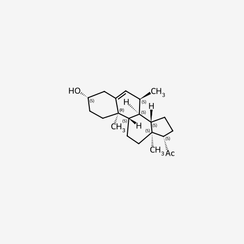 CC(=O)[C@H]1CC[C@H]2[C@@H]3[C@H](C)C=C4C[C@@H](O)CC[C@]4(C)[C@H]3CC[C@]12C